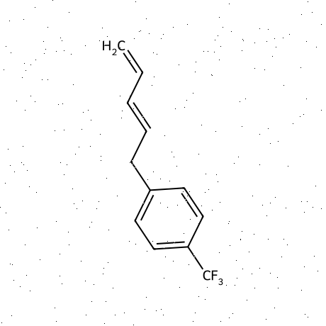 C=CC=CCc1ccc(C(F)(F)F)cc1